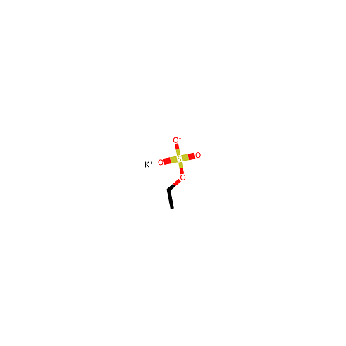 CCOS(=O)(=O)[O-].[K+]